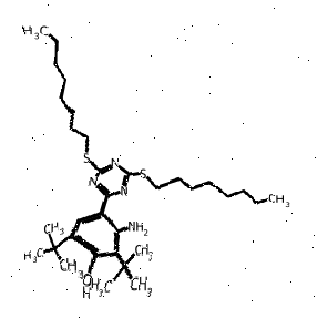 CCCCCCCCSc1nc(SCCCCCCCC)nc(-c2cc(C(C)(C)C)c(O)c(C(C)(C)C)c2N)n1